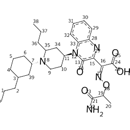 CCCC1CCC[C@H](N2CC[C@H](n3c(=O)c(/C(=N/OC(C)C(N)=O)C(=O)O)nc4ccccc43)CC2CCC)C1